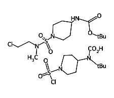 CC(C)(C)N(C(=O)O)C1CCN(S(=O)(=O)Cl)CC1.CN(CCCl)S(=O)(=O)N1CCC(NC(=O)OC(C)(C)C)CC1